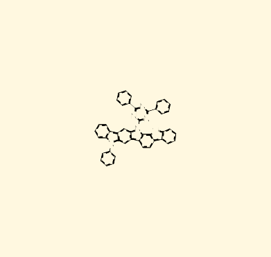 c1ccc(-c2nc(-c3ccccc3)nc(-n3c4cc5c6ccccc6n(-c6ccccc6)c5cc4c4ccc5c6ccccc6oc5c43)n2)cc1